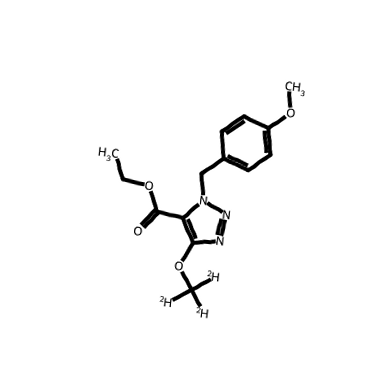 [2H]C([2H])([2H])Oc1nnn(Cc2ccc(OC)cc2)c1C(=O)OCC